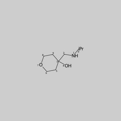 CC(C)NCC1(O)CCOCC1